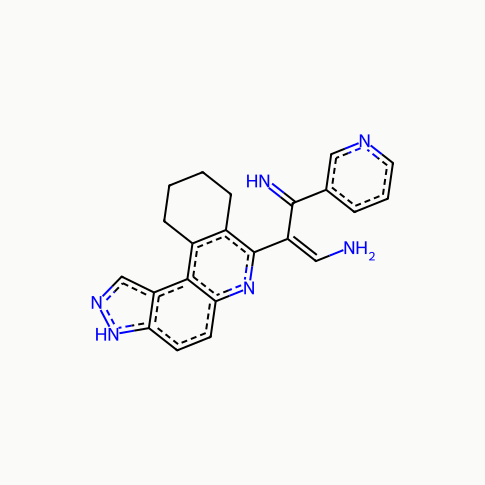 N=C(/C(=C\N)c1nc2ccc3[nH]ncc3c2c2c1CCCC2)c1cccnc1